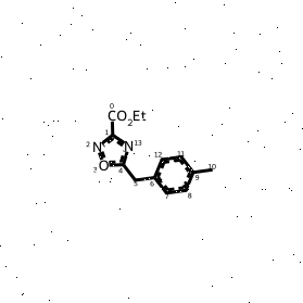 CCOC(=O)c1noc(Cc2ccc(C)cc2)n1